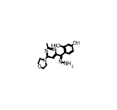 Cc1nc(/C(=N/N)c2ccc(O)cc2O)cc(N2CCOCC2)n1